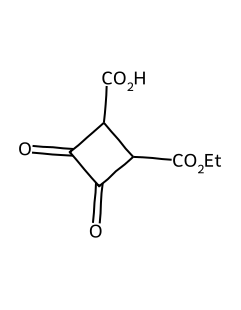 CCOC(=O)C1C(=O)C(=O)C1C(=O)O